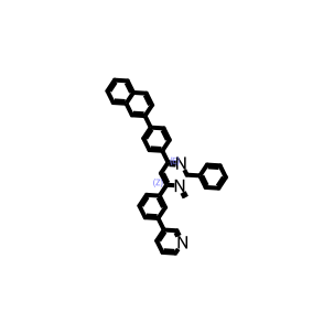 C=N/C(=C\C(=N/Cc1ccccc1)c1ccc(-c2ccc3ccccc3c2)cc1)c1cccc(-c2cccnc2)c1